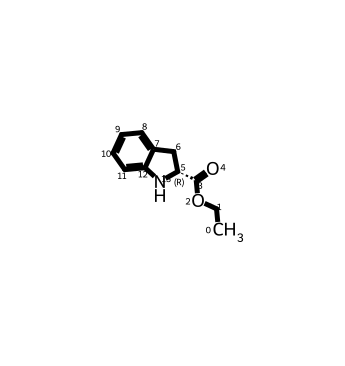 CCOC(=O)[C@H]1Cc2ccccc2N1